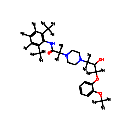 [2H]c1c([2H])c(C([2H])([2H])[2H])c(NC(=O)C([2H])([2H])N2CCN(C([2H])([2H])C(O)C([2H])([2H])Oc3ccccc3OC([2H])([2H])[2H])CC2)c(C([2H])([2H])[2H])c1[2H]